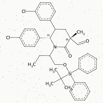 CCC(CO[Si](c1ccccc1)(c1ccccc1)C(C)(C)C)N1C(=O)[C@@](C)(C=O)CC(c2cccc(Cl)c2)[C@H]1c1ccc(Cl)cc1